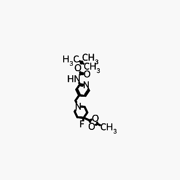 CC1OC(C2(F)CCN(Cc3ccnc(NC(=O)OC(C)(C)C)c3)CC2)O1